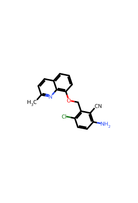 Cc1ccc2cccc(OCc3c(Cl)ccc(N)c3C#N)c2n1